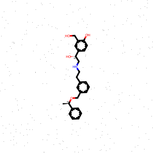 C[C@@H](OCc1cccc(CCNC[C@H](O)c2ccc(O)c(CO)c2)c1)c1ccccc1